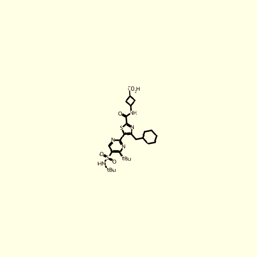 CC(C)(C)NS(=O)(=O)c1cnc(-c2sc(C(=O)NC3CC(C(=O)O)C3)nc2CC2CCCCC2)nc1C(C)(C)C